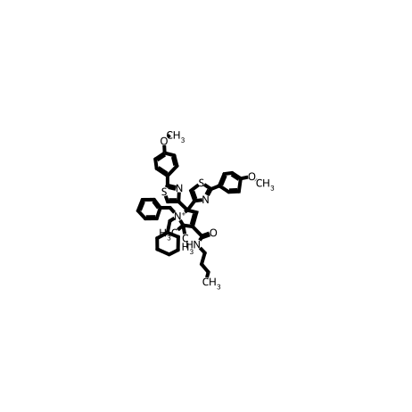 CCCCNC(=O)C1=CC(c2csc(-c3ccc(OC)cc3)n2)(c2csc(-c3ccc(OC)cc3)n2)[N+](Cc2ccccc2)(CC2CCCCC2)C1(C)C